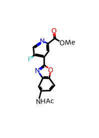 COC(=O)c1cc(-c2nc3cc(NC(C)=O)ccc3o2)c(F)cn1